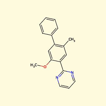 COc1cc(-c2ccccc2)c(C)cc1-c1ncccn1